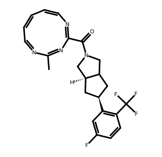 Cc1ncccccnc(C(=O)N2CC3C[C@@H](c4cc(F)ccc4C(F)(F)F)C[C@H]3C2)n1